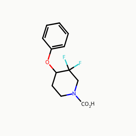 O=C(O)N1CCC(Oc2ccccc2)C(F)(F)C1